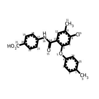 Cc1ccc(Oc2cc(Cl)c(C)cc2C(=O)Nc2ccc(C(=O)O)cc2)cc1